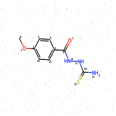 COc1ccc(C(=O)NNC(N)=S)cc1